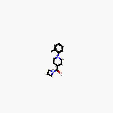 Cc1ccccc1N1CCC(C(=O)N2CCC2)CC1